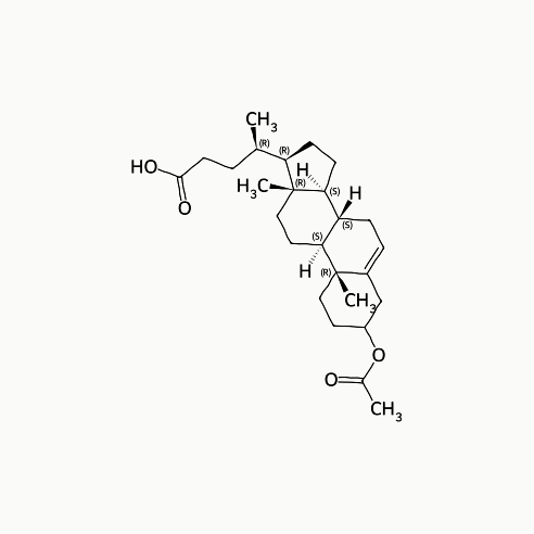 CC(=O)OC1CC[C@@]2(C)C(=CC[C@H]3[C@@H]4CC[C@H]([C@H](C)CCC(=O)O)[C@@]4(C)CC[C@@H]32)C1